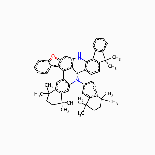 CC1(C)CCC(C)(C)c2cc(N3B4c5ccc6c(c5Nc5cc7oc8ccccc8c7c(c54)-c4cc5c(cc43)C(C)(C)CCC5(C)C)-c3ccccc3C6(C)C)ccc21